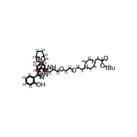 CC(C)(C)OC(=O)CN1CCN(CCOCCOCCCc2cc(N3C4CCC3CN(c3cc(-c5ccccc5O)nnc3N)C4)ccn2)CC1